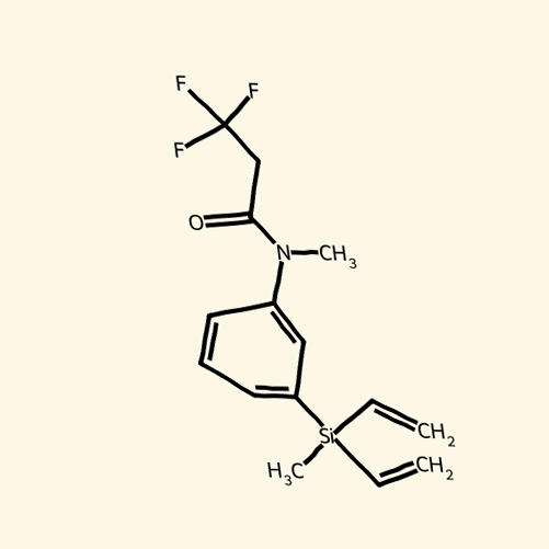 C=C[Si](C)(C=C)c1cccc(N(C)C(=O)CC(F)(F)F)c1